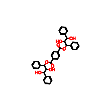 O=C(OC(c1ccccc1)C(O)C(O)c1ccccc1)c1ccc(C(=O)OC(c2ccccc2)C(O)C(O)c2ccccc2)cc1